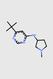 CN1CCC(Nc2cc(C(C)(C)C)ncn2)C1